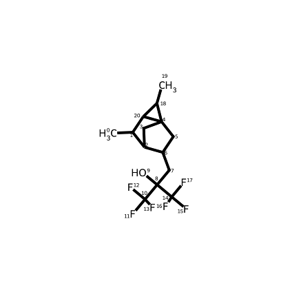 CC1C2CC3(CC2CC(O)(C(F)(F)F)C(F)(F)F)C(C)C13